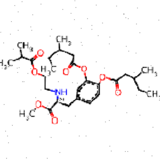 CCC(C)CC(=O)Oc1ccc(C[C@H](NCCOC(=O)C(C)C)C(=O)OC)cc1OC(=O)CC(C)CC